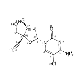 C#C[C@]1(CO)O[C@@H](n2cc(Cl)c(N)nc2=O)C[C@@H]1O